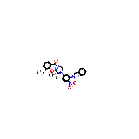 COc1c(C)cccc1C(=O)N1CCN(c2ccc([N+](=O)[O-])c(NCc3ccccc3)c2)CC1